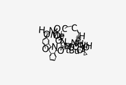 COc1ccc2oc3c4ccccc4c(O[C@H]4CN5C(=O)[C@@H](OC(N)=O)CCCCCC=C[C@@H]6C[C@@]6(C(=O)NS(=O)(=O)C6CC6)NC(=O)[C@@H]5C4C(C)(C)C)nc3c2c1